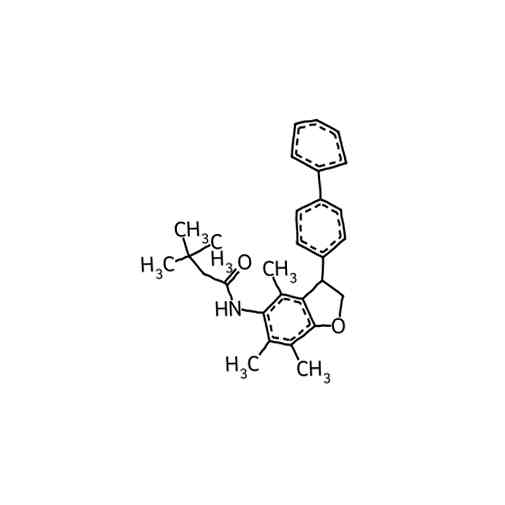 Cc1c(C)c2c(c(C)c1NC(=O)CC(C)(C)C)C(c1ccc(-c3ccccc3)cc1)CO2